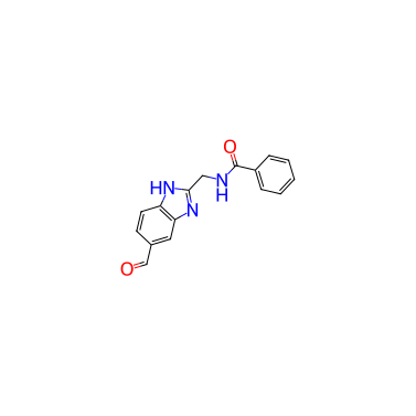 O=Cc1ccc2[nH]c(CNC(=O)c3ccccc3)nc2c1